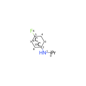 CC(C)NC12CCC(F)(CC1)CC2